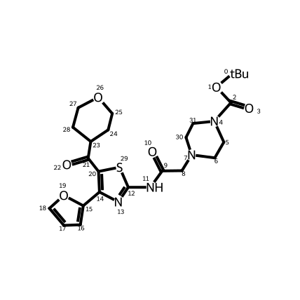 CC(C)(C)OC(=O)N1CCN(CC(=O)Nc2nc(-c3ccco3)c(C(=O)C3CCOCC3)s2)CC1